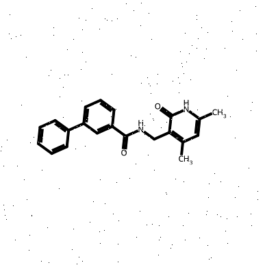 Cc1cc(C)c(CNC(=O)c2cccc(-c3ccccc3)c2)c(=O)[nH]1